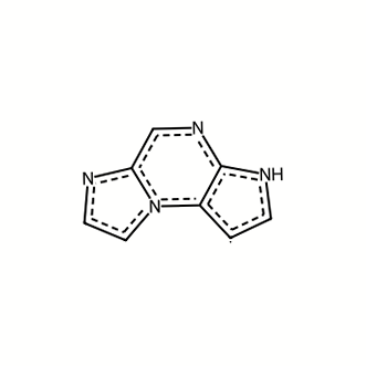 [c]1c[nH]c2ncc3nccn3c12